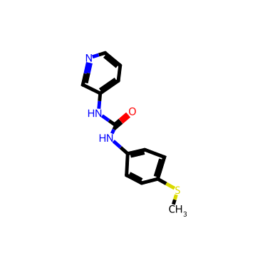 CSc1ccc(NC(=O)Nc2cccnc2)cc1